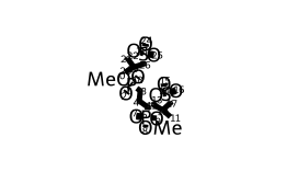 COP(=O)(CCCP(=O)(OC)OC1(C)COS(=O)(=O)C1)OC1(C)COS(=O)(=O)C1